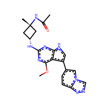 COc1nc(N[C@H]2C[C@@](C)(NC(C)=O)C2)nc2[nH]cc(-c3ccc4nncn4c3)c12